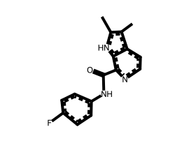 Cc1[nH]c2c(C(=O)Nc3ccc(F)cc3)nccc2c1C